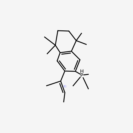 C/C=C(\C)c1cc2c(cc1[PH](C)(C)C)C(C)(C)CCC2(C)C